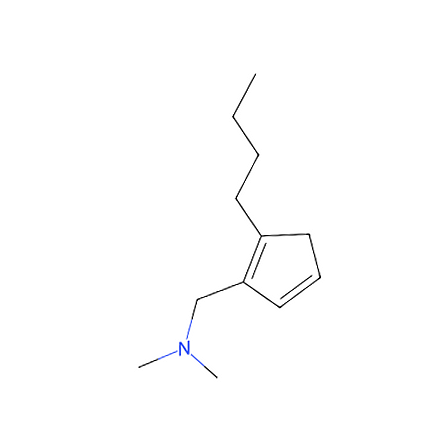 CCCCC1=C(CN(C)C)C=CC1